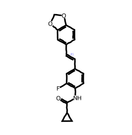 O=C(Nc1ccc(/C=C/c2ccc3c(c2)OCO3)cc1F)C1CC1